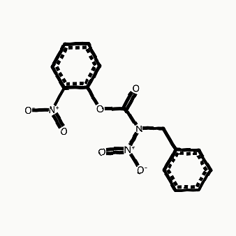 O=C(Oc1ccccc1[N+](=O)[O-])N(Cc1ccccc1)[N+](=O)[O-]